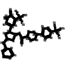 O=C(CN1CC(Oc2ccccc2)CC1c1cc(C(F)(F)F)c(=O)[nH]n1)N1CCN(c2ncc(C(F)(F)F)cn2)CC1